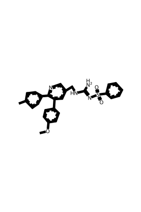 COc1ccc(-c2cc(CN/C(N)=N/S(=O)(=O)c3ccccc3)cnc2-c2ccc(C)cc2)cc1